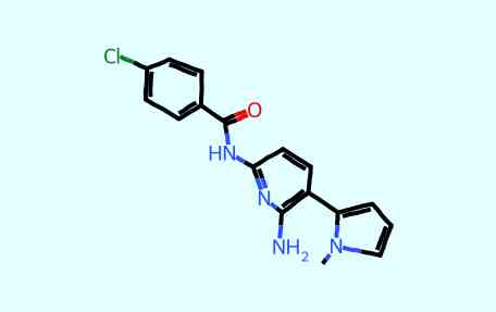 Cn1cccc1-c1ccc(NC(=O)c2ccc(Cl)cc2)nc1N